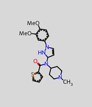 COc1ccc(N2C=CC(N(C(=O)c3cccs3)C3CCN(C)CC3)N2)cc1OC